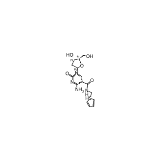 Nc1nc(=O)n([C@H]2C[C@H](O)[C@@H](CO)O2)cc1C(=O)NC[SH]1C=CC=C1